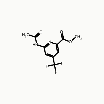 COC(=O)c1cc(C(F)(F)F)cc(NC(C)=O)n1